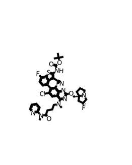 CN(CCCC(=O)N(C)c1ccccn1)c1nc(OC[C@@]23CCCN2C[C@H](F)C3)nc2c(F)c(-c3ccc(F)c4sc(NC(=O)OC(C)(C)C)c(C#N)c34)c(Cl)cc12